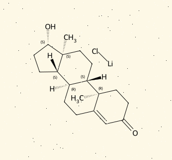 C[C@]12CC[C@H]3[C@@H](CCC4=CC(=O)CC[C@@]43C)[C@@H]1CC[C@@H]2O.[Li][Cl]